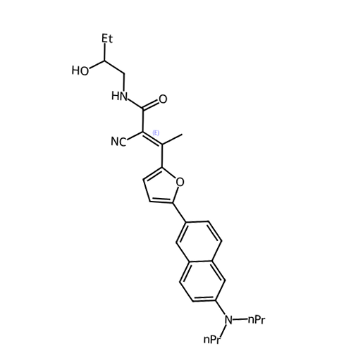 CCCN(CCC)c1ccc2cc(-c3ccc(/C(C)=C(\C#N)C(=O)NCC(O)CC)o3)ccc2c1